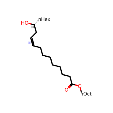 CCCCCCCCOC(=O)CCCCCCC/C=C\C[C@H](O)CCCCCC